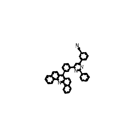 N#Cc1cccc(-c2cc(-c3cccc(-c4c5ccc6ccccc6c5nc5c4ccc4ccccc45)c3)nc(-c3ccccc3)n2)c1